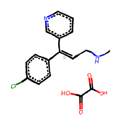 CNC/C=C(/c1ccc(Cl)cc1)c1cccnc1.O=C(O)C(=O)O